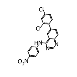 O=[N+]([O-])c1ccc(Nc2ncnc3ccc(-c4ccc(Cl)cc4Cl)cc23)cc1